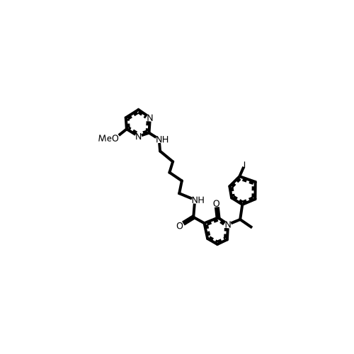 COc1ccnc(NCCCCCNC(=O)c2cccn(C(C)c3ccc(I)cc3)c2=O)n1